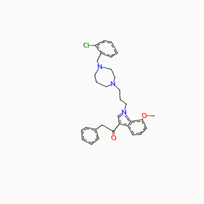 COc1cccc2c(C(=O)Cc3ccccc3)cn(CCCN3CCCN(Cc4ccccc4Cl)CC3)c12